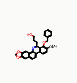 COc1ccc2c(c(CCCO)nc3c4cc5c(cc4ccc23)OCO5)c1OCc1ccccc1